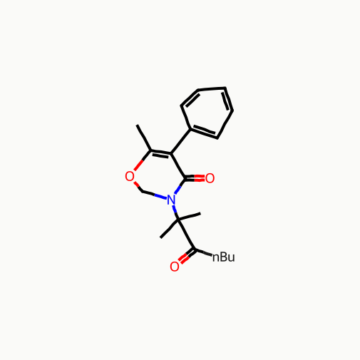 CCCCC(=O)C(C)(C)N1COC(C)=C(c2ccccc2)C1=O